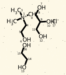 C[N+](C)(C)CCO.OCC(O)CO.OCCO.[Cl-]